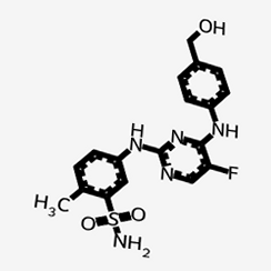 Cc1ccc(Nc2ncc(F)c(Nc3ccc(CO)cc3)n2)cc1S(N)(=O)=O